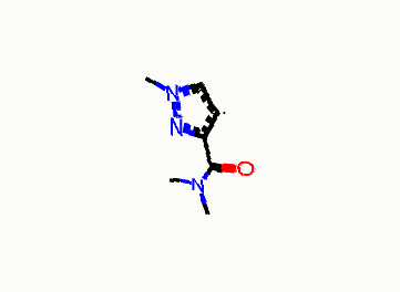 CN(C)C(=O)c1[c]cn(C)n1